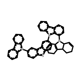 C1=CC2=C(CC1)C1CCC=CC1N2c1cccc2c3ccccc3n(-c3ccc4sc5ccc(-n6c7ccccc7c7ccccc76)cc5c4c3)c12